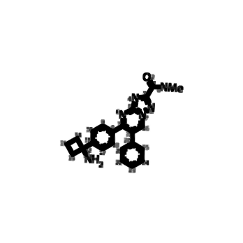 CNC(=O)c1nc2nc(-c3ccc(C4(N)CCC4)cc3)c(-c3ccccc3)cn2n1